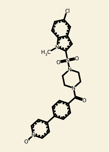 Cn1c(S(=O)(=O)N2CCN(C(=O)c3ccc(-c4cc[n+]([O-])cc4)cc3)CC2)cc2cc(Cl)ccc21